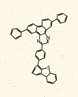 C1=CC2Sc3c(-c4ccc(-c5cnc6c7cc(-c8ccccc8)ccc7c7ccc(-c8ccccc8)cc7c6n5)cc4)cccc3C2C=C1